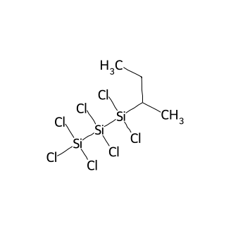 CCC(C)[Si](Cl)(Cl)[Si](Cl)(Cl)[Si](Cl)(Cl)Cl